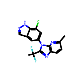 Cc1ccc2nc(C(C)(F)F)n(-c3cc(Cl)c4[nH]ncc4c3)c2n1